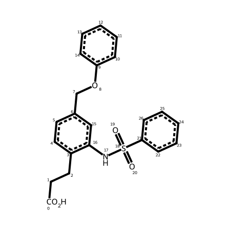 O=C(O)CCc1ccc(COc2ccccc2)cc1NS(=O)(=O)c1ccccc1